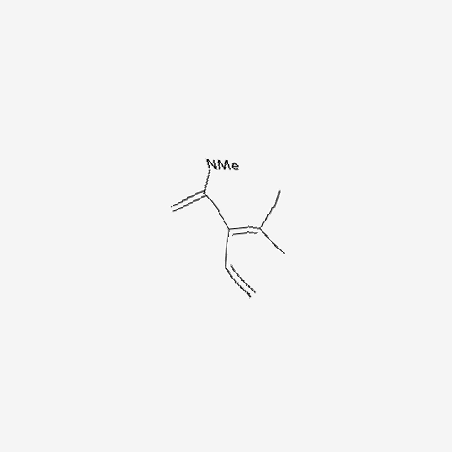 C=CC(C(=C)NC)=C(C)C